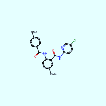 CNc1ccc(C(=O)Nc2ccc(OC)cc2C(=O)Nc2ccc(Cl)cn2)cc1